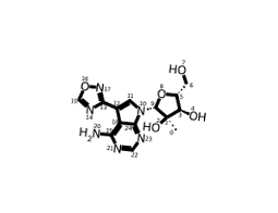 C[C@@]1(O)[C@H](O)[C@@H](CO)O[C@H]1n1cc(-c2ncon2)c2c(N)ncnc21